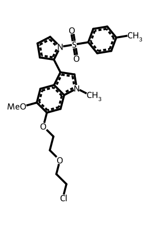 COc1cc2c(-c3cccn3S(=O)(=O)c3ccc(C)cc3)cn(C)c2cc1OCCOCCCl